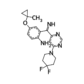 CC1(Oc2ccc(N)c(C(=N)c3cc(N4CCC(F)(F)CC4)ncn3)c2)CC1